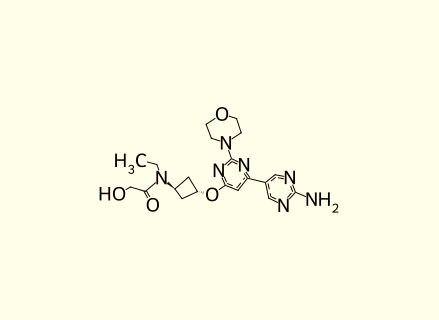 CCN(C(=O)CO)[C@H]1C[C@H](Oc2cc(-c3cnc(N)nc3)nc(N3CCOCC3)n2)C1